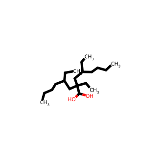 CCCCC(CC)CC(CC)(CC(CC)CCCC)C(O)O